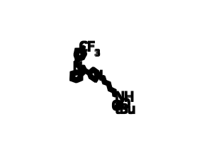 CC(C)(C)OC(=O)NCCCCCCN1CCC(c2cn(Cc3ccc(C(F)(F)F)cc3)c3ccccc23)CC1